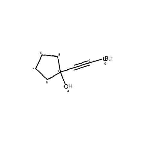 CC(C)(C)C#CC1(O)CCCC1